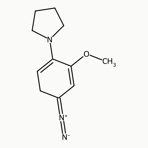 COC1=CC(=[N+]=[N-])CC=C1N1CCCC1